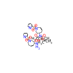 CC(C)(C)OC(=O)N1C2CC=CCN(S(=O)(=O)c3ccccn3)CC2OC1(C)C.NC1C=CCCN(S(=O)(=O)c2ccccn2)CC1O